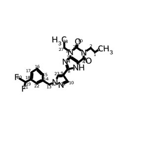 CCCn1c(=O)c2[nH]c(-c3cnn(Cc4cccc(C(F)F)c4)c3)nc2n(CC)c1=O